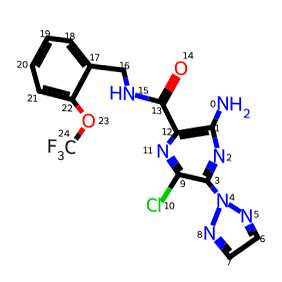 Nc1nc(-n2nccn2)c(Cl)nc1C(=O)NCc1ccccc1OC(F)(F)F